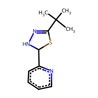 CC(C)(C)C1=NNC(c2ccccn2)S1